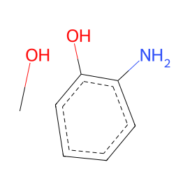 CO.Nc1ccccc1O